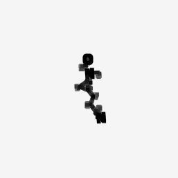 CN(C=O)C1CC1CCC#N